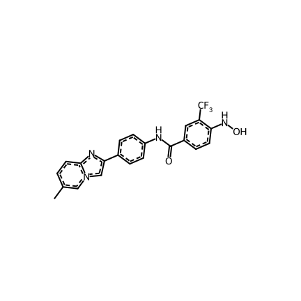 Cc1ccc2nc(-c3ccc(NC(=O)c4ccc(NO)c(C(F)(F)F)c4)cc3)cn2c1